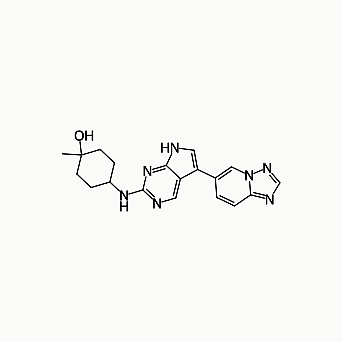 CC1(O)CCC(Nc2ncc3c(-c4ccc5ncnn5c4)c[nH]c3n2)CC1